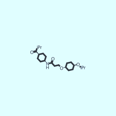 CC(C)O[C@H]1CC[C@H](OCCC(=O)N[C@H]2CC[C@H](C(=O)C(C)C)CC2)CC1